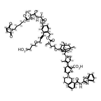 Cc1c(-c2ccc(N3CCc4cccc(C(=O)Nc5nc6ccccc6s5)c4C3)nc2C(=O)O)cnn1CC12CC3(C)CC(C)(C1)CC(OCCN(C)C(=O)OCc1ccc(NC(=O)[C@H](C)NC(=O)C(NC(=O)CCCCCN4C(=O)C=CC4=O)C(C)C)cc1C#CCOCCCS(=O)(=O)O)(C3)C2